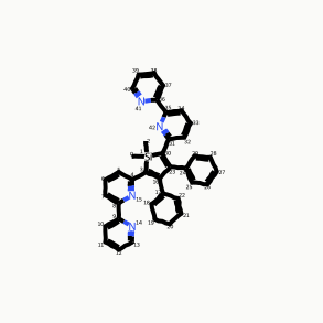 C[Si]1(C)C(c2cccc(-c3ccccn3)n2)=C(C2=CCCC=C2)C(c2ccccc2)=C1c1cccc(-c2ccccn2)n1